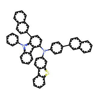 c1ccc(-n2c3ccccc3c3c(N(c4ccc(-c5ccc6ccccc6c5)cc4)c4ccc5c(c4)sc4ccccc45)ccc(-c4ccc5ccccc5c4)c32)cc1